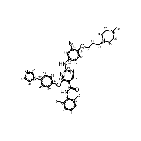 Cc1cccc(C)c1NC(=O)c1cnc(Nc2ccc(OCCCN3CCN(C)CC3)c(F)c2)nc1Oc1ccc(-n2ccnc2)cc1